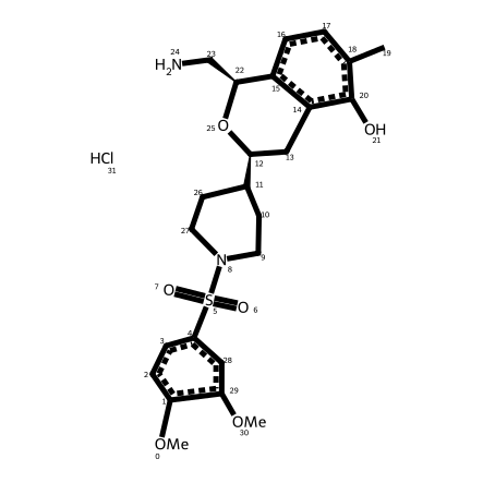 COc1ccc(S(=O)(=O)N2CCC([C@@H]3Cc4c(ccc(C)c4O)[C@H](CN)O3)CC2)cc1OC.Cl